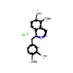 COc1ccc(Cc2nccc3c(OC)c(OC)ccc23)cc1OC.Cl